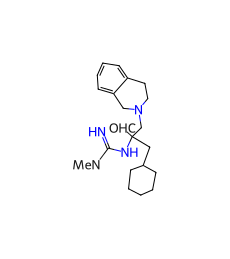 CNC(=N)NC(C=O)(CC1CCCCC1)CN1CCc2ccccc2C1